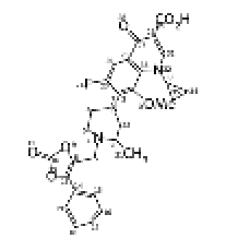 COc1c(N2CCN(Cc3oc(=O)oc3-c3ccccc3)C(C)C2)c(F)cc2c(=O)c(C(=O)O)cn(C3CC3)c12